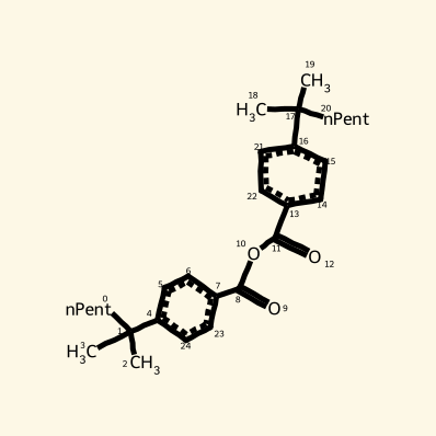 CCCCCC(C)(C)c1ccc(C(=O)OC(=O)c2ccc(C(C)(C)CCCCC)cc2)cc1